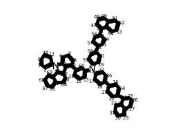 c1ccc(-n2c3cccc(-c4cccc(N(c5ccc(-c6ccc(-c7cccc8ccccc78)cc6)cc5)c5ccc(-c6ccc(-c7cccc8ccccc78)cc6)cc5)c4)c3c3ccc4ccccc4c32)cc1